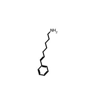 NCCCCCC=Cc1ccccc1